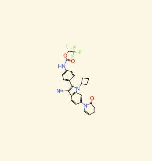 C[C@@H](OC(=O)Nc1ccc(-c2c(C#N)c3ccc(-n4ccccc4=O)cc3n2C2CCC2)cc1)C(F)(F)F